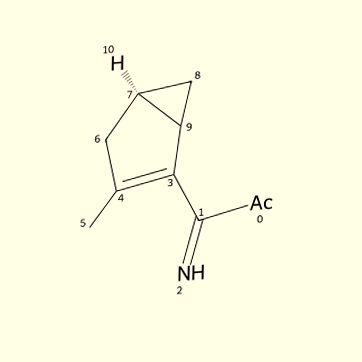 CC(=O)C(=N)C1=C(C)C[C@H]2CC12